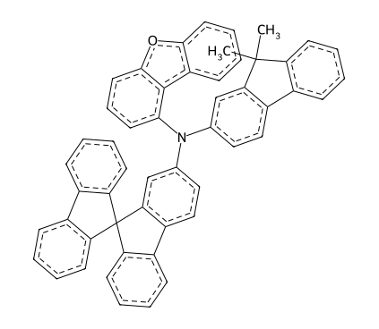 CC1(C)c2ccccc2-c2ccc(N(c3ccc4c(c3)C3(c5ccccc5-c5ccccc53)c3ccccc3-4)c3cccc4oc5ccccc5c34)cc21